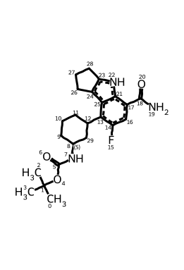 CC(C)(C)OC(=O)N[C@H]1CCCC(c2c(F)cc(C(N)=O)c3[nH]c4c(c23)CCC4)C1